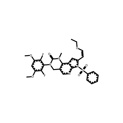 CCO/C=C\c1cc2c3c(cnc2n1S(=O)(=O)c1ccccc1)CN(c1c(F)c(OC)cc(OC)c1F)C(=O)N3C